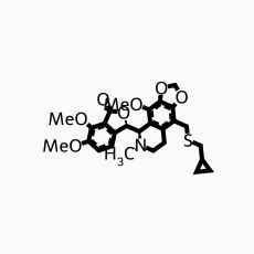 COc1ccc2c(c1OC)C(=O)O[C@@H]2[C@H]1c2c(c(CSCC3CC3)c3c(c2OC)OCO3)CCN1C